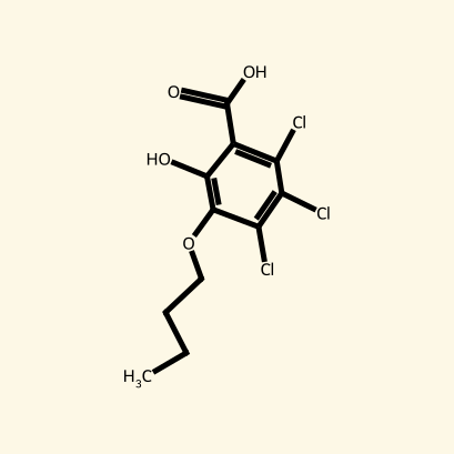 CCCCOc1c(O)c(C(=O)O)c(Cl)c(Cl)c1Cl